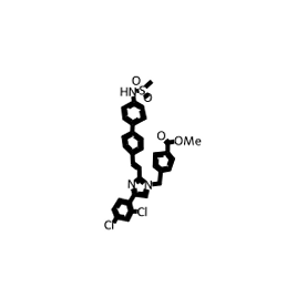 COC(=O)c1ccc(Cn2cc(-c3ccc(Cl)cc3Cl)nc2/C=C/c2ccc(-c3ccc(NS(C)(=O)=O)cc3)cc2)cc1